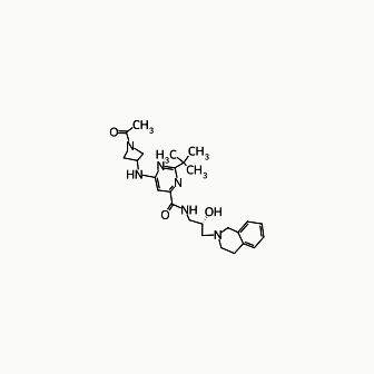 CC(=O)N1CC(Nc2cc(C(=O)NC[C@H](O)CN3CCc4ccccc4C3)nc(C(C)(C)C)n2)C1